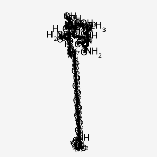 COc1cc(C(N)=O)cc2nc(NC(=O)c3cc(C)nn3CC(O)CO)n(C/C=C/Cn3c(NC(=O)/C(=C/C(C)=N)NCC(O)CO)nc4cc(C(N)=O)cc(OCCCN5CCN(CCOCCOCCOCCOCCOCCOCCOCCOCCOCCOCCNC(=O)CN6C(=O)C=CC6=O)CC5)c43)c12